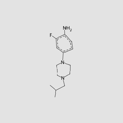 CC(C)CN1CCN(c2ccc(N)c(F)c2)CC1